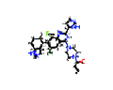 C=CC(=O)N1CCN(c2nc(-c3ccn[nH]3)nc3c(F)c(-c4c(C)ccc5[nH]ncc45)c(Cl)cc23)CC1